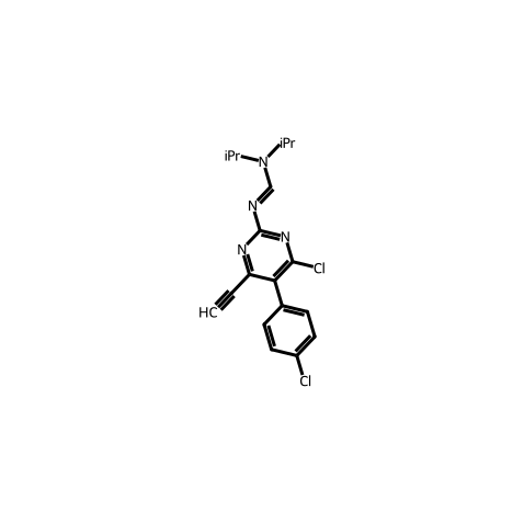 C#Cc1nc(N=CN(C(C)C)C(C)C)nc(Cl)c1-c1ccc(Cl)cc1